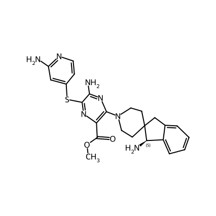 COC(=O)c1nc(Sc2ccnc(N)c2)c(N)nc1N1CCC2(CC1)Cc1ccccc1[C@H]2N